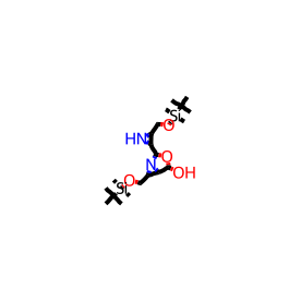 CC(C)(C)[Si](C)(C)OCC1NC1C1OC(O)C2C(CO[Si](C)(C)C(C)(C)C)N12